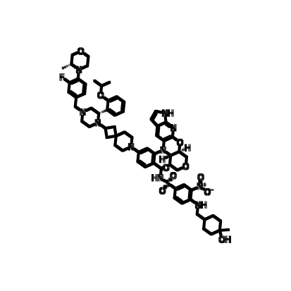 CC(C)Oc1ccccc1[C@H]1CN(Cc2ccc(N3CCOC[C@H]3C)c(F)c2)CCN1C1CC2(CCN(c3ccc(C(=O)NS(=O)(=O)c4ccc(NCC5CCC(C)(O)CC5)c([N+](=O)[O-])c4)c(N4c5cc6cc[nH]c6nc5O[C@H]5COCC[C@@H]54)c3)CC2)C1